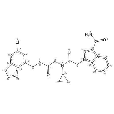 NC(=O)c1nn(CC(=O)N(CC(=O)NCc2cc(Cl)cc3ccoc23)C2CC2)c2ccccc12